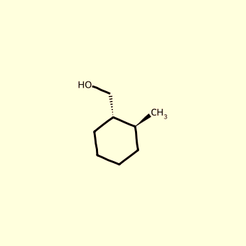 C[C@H]1CCCC[C@@H]1CO